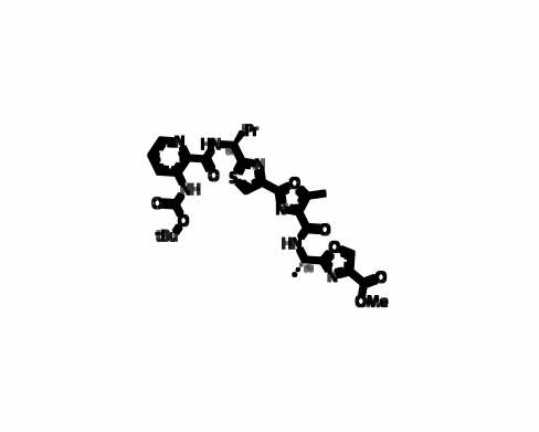 COC(=O)c1coc([C@H](C)NC(=O)c2nc(-c3csc([C@@H](NC(=O)c4ncccc4NC(=O)OC(C)(C)C)C(C)C)n3)oc2C)n1